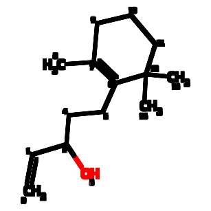 C=CC(O)CCC1=C(C)CCCC1(C)C